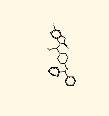 CC(N1CCC(OC(c2ccccc2)c2ccccc2)CC1)N1C(=O)Cc2cc(F)ccc21